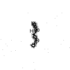 O=C(COc1ccccc1)N1CCC2(CC1)CC2CNC(=O)N1Cc2ccncc2C1